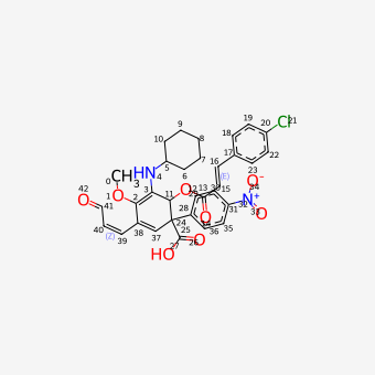 COC1=C(NC2CCCCC2)C(OC(=O)/C=C/c2ccc(Cl)cc2)C(C(=O)O)(c2ccc([N+](=O)[O-])cc2)C=C1/C=C\C=O